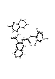 CC(=O)OC(NC(=O)c1cc2ccccc2cc1NC(=O)Cc1c(C)cc(C)cc1C)C1CCCCC1